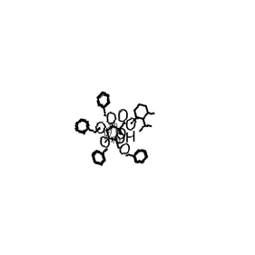 CC(C)C1C(C)CCCC1OC(=O)C(=O)[C@H](OCc1ccccc1)[C@@H](OCc1ccccc1)[C@H](OCc1ccccc1)[C@H](O)COCc1ccccc1